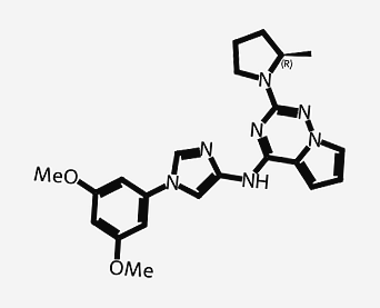 COc1cc(OC)cc(-n2cnc(Nc3nc(N4CCC[C@H]4C)nn4cccc34)c2)c1